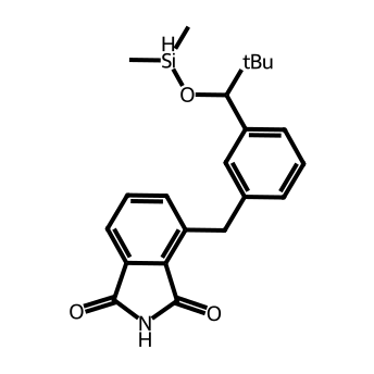 C[SiH](C)OC(c1cccc(Cc2cccc3c2C(=O)NC3=O)c1)C(C)(C)C